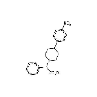 CCOC(=O)C(c1ccccc1)N1CCC(c2ccc([N+](=O)[O-])cc2)CC1